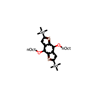 CCCCCCCCOc1c2c[c]([Sn]([CH3])([CH3])[CH3])sc2c(OCCCCCCCC)c2c[c]([Sn]([CH3])([CH3])[CH3])sc12